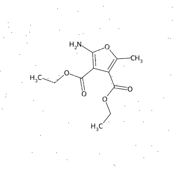 CCOC(=O)c1c(C)oc(N)c1C(=O)OCC